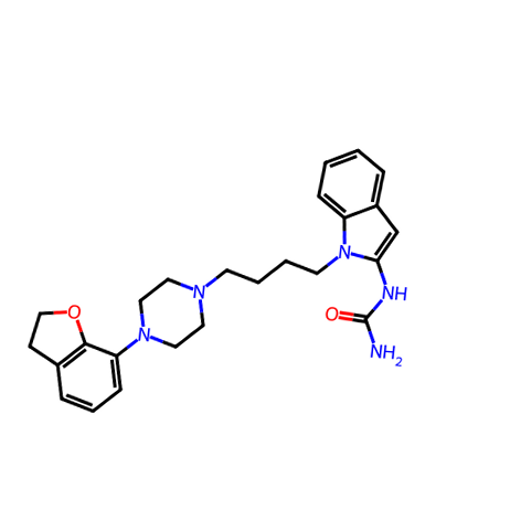 NC(=O)Nc1cc2ccccc2n1CCCCN1CCN(c2cccc3c2OCC3)CC1